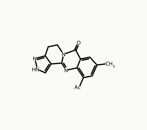 CC(=O)c1cc(C)cc2c(=O)n3c(nc12)-c1c[nH]nc1CC3